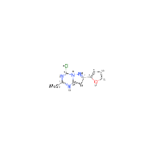 CSc1nc(Cl)n2nc(-c3ccco3)cc2n1